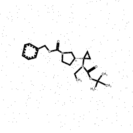 CCN(C(=O)OC(C)(C)C)C1([C@@H]2CCN(C(=O)OCc3ccccc3)C2)CC1